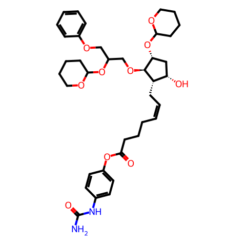 NC(=O)Nc1ccc(OC(=O)CCC/C=C\C[C@@H]2[C@@H](OCC(COc3ccccc3)OC3CCCCO3)[C@H](OC3CCCCO3)C[C@@H]2O)cc1